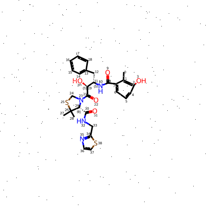 Cc1c(O)cccc1C(=O)N[C@@H](Cc1ccccc1)[C@H](O)C(=O)N1CSC(C)(C)[C@H]1C(=O)NCc1nccs1